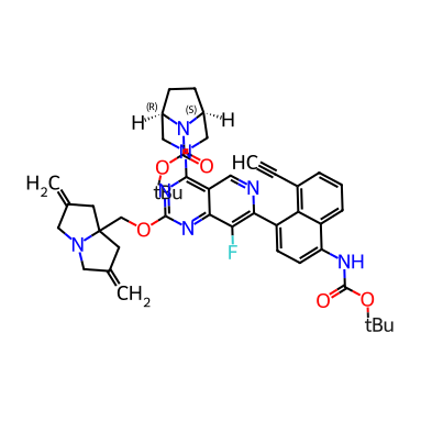 C#Cc1cccc2c(NC(=O)OC(C)(C)C)ccc(-c3ncc4c(N5C[C@H]6CC[C@@H](C5)N6C(=O)OC(C)(C)C)nc(OCC56CC(=C)CN5CC(=C)C6)nc4c3F)c12